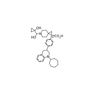 O=C(O)[C@]1(c2ccc(C3Cc4ccccc4N(C4CCCCCC4)C3)cc2)CC12CCN(C(O)C1(O)CC1)CC2